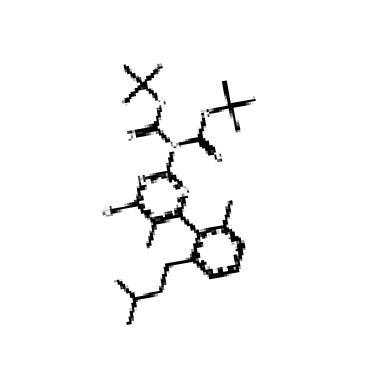 Cc1cccc(CCC(C)C)c1-c1nc(N(C(=O)OC(C)(C)C)C(=O)OC(C)(C)C)nc(Cl)c1C